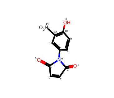 O=C1C=CC(=O)N1c1ccc(O)c([N+](=O)[O-])c1